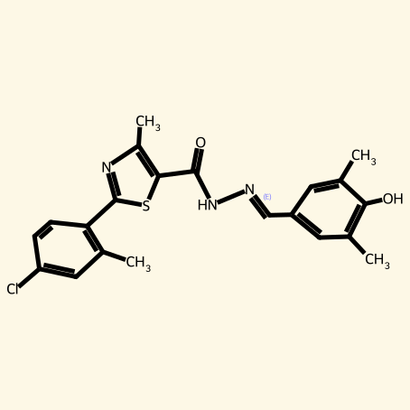 Cc1cc(Cl)ccc1-c1nc(C)c(C(=O)N/N=C/c2cc(C)c(O)c(C)c2)s1